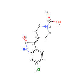 O=C1Nc2cc(Cl)ccc2C1=C1CCN(C(=O)O)CC1